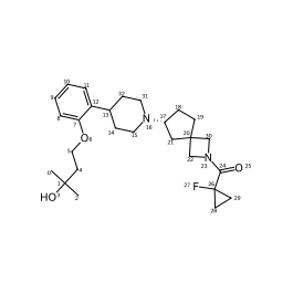 CC(C)(O)CCOc1ccccc1C1CCN([C@@H]2CCC3(C2)CN(C(=O)C2(F)CC2)C3)CC1